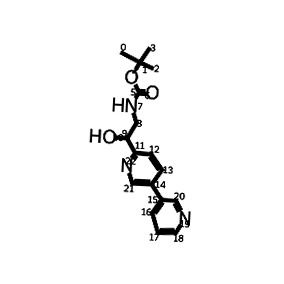 CC(C)(C)OC(=O)NCC(O)c1ccc(-c2cccnc2)cn1